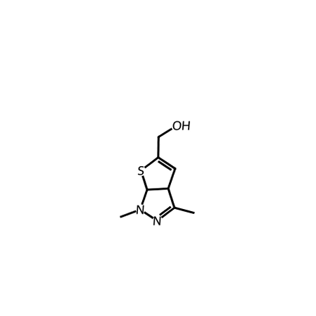 CC1=NN(C)C2SC(CO)=CC12